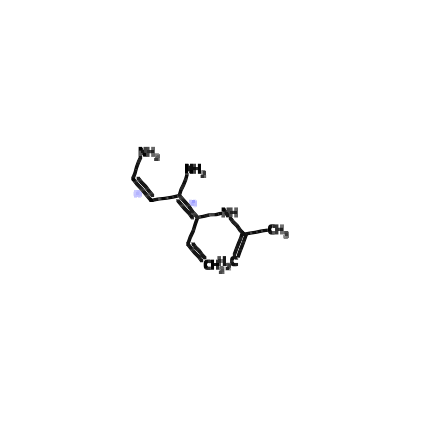 C=C/C(NC(=C)C)=C(N)\C=C/N